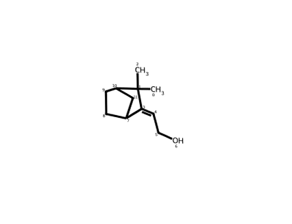 CC1(C)/C(=C/CO)C2CCC1C2